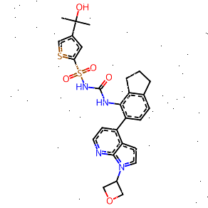 CC(C)(O)c1csc(S(=O)(=O)NC(=O)Nc2c(-c3ccnc4c3ccn4C3COC3)ccc3c2CCC3)c1